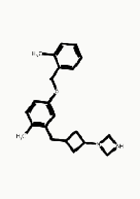 Cc1ccccc1COc1ccc(C)c(CC2CC(N3CNC3)C2)c1